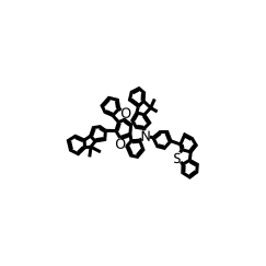 CC1(C)c2ccccc2-c2ccc(-c3c4oc5cccc(N(c6ccc(-c7cccc8c7sc7ccccc78)cc6)c6ccc7c(c6)C(C)(C)c6ccccc6-7)c5c4cc4oc5ccccc5c34)cc21